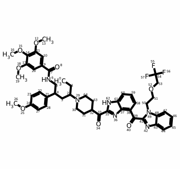 CCC(CC(CNC(=O)c1cc(OC)c(OC)c(OC)c1)c1ccc(OC)cc1)N1CCC(C(=O)c2nc3c(C(=O)c4nc5ccccc5n4CCOCC(F)(F)F)cccc3[nH]2)CC1